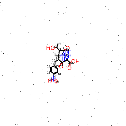 CC(O)C1C(=O)NC1(C)C(Cc1ccc([N+](=O)[O-])cc1)C(=O)C(=[N+]=[N-])C(=O)O